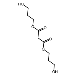 O=C(CC(=O)OCCCO)OCCCO